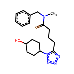 CN(Cc1ccccc1)C(=S)CCCc1nnnn1C1CCC(O)CC1